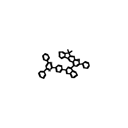 CC1(C)c2ccccc2-c2cc3c(-c4cc(-c5ccc(-c6nc(-c7ccccc7)cc(-c7ccccc7)n6)cc5)cc5ccccc45)cc(-c4ccccc4)nc3cc21